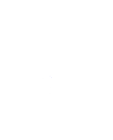 CN(CC1CC1)C(=O)CC1CCc2ccccc2C1=O